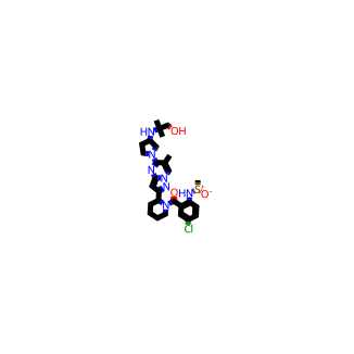 Cc1cn2nc(C3CCCCN3C(=O)c3cc(Cl)ccc3N[S+](C)[O-])cc2nc1N1CCC(NC(C)(C)CO)C1